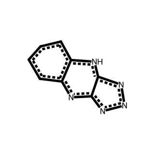 c1ccc2[nH]c3nnnc-3nc2c1